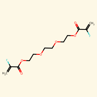 C=C(F)C(=O)OCCOCCOCCOC(=O)C(=C)F